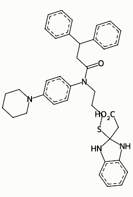 O=C(O)CC1(SCCCN(C(=O)CC(c2ccccc2)c2ccccc2)c2ccc(N3CCCCC3)cc2)Nc2ccccc2N1